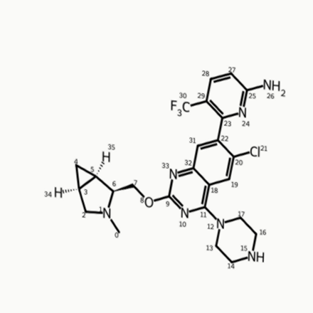 CN1C[C@H]2C[C@H]2[C@H]1COc1nc(N2CCNCC2)c2cc(Cl)c(-c3nc(N)ccc3C(F)(F)F)cc2n1